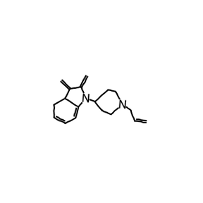 C=CCN1CCC(N2C(=C)C(=C)C3CC=CC=C32)CC1